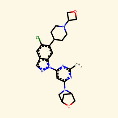 Cc1nc(N2CC3CC2CO3)cc(-n2ncc3cc(Cl)c(C4CCN(C5COC5)CC4)cc32)n1